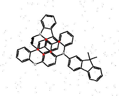 CC1(C)c2ccccc2-c2ccc(N(c3ccc4c(c3)C3(c5ccccc5O4)c4ccccc4-n4c5ccccc5c5cccc3c54)c3ccccc3-c3ccccc3)cc21